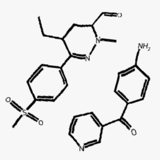 CCC1CC(C=O)N(C)N=C1c1ccc(S(C)(=O)=O)cc1.Nc1ccc(C(=O)c2cccnc2)cc1